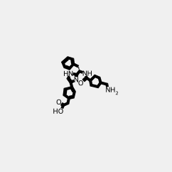 NCC1CCC(C(=O)N[C@@H](Cc2ccccc2)c2nc(-c3ccc(CC(=O)O)cc3)c[nH]2)CC1